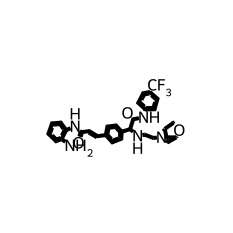 Nc1ccccc1NC(=O)C=Cc1ccc(C(NCCN2CC3CC2CO3)C(=O)Nc2ccc(C(F)(F)F)cc2)cc1